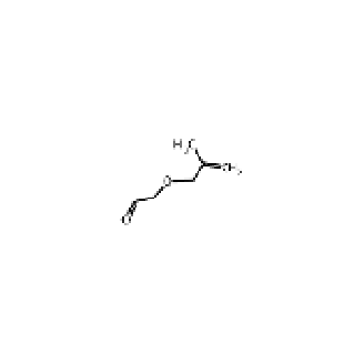 C=C(C)COC[C]=O